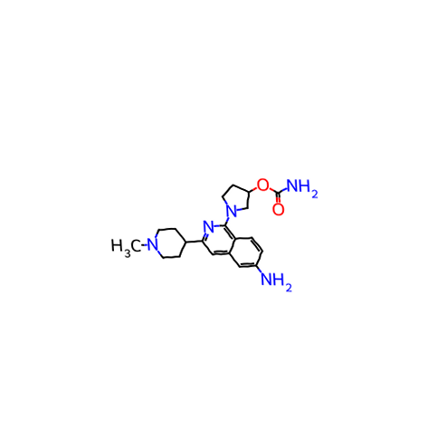 CN1CCC(c2cc3cc(N)ccc3c(N3CCC(OC(N)=O)C3)n2)CC1